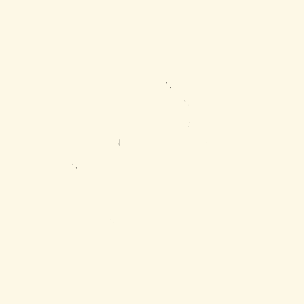 CCOCCOc1c(N2CCN(C)CC2)cnn(-c2ccccc2)c1=O